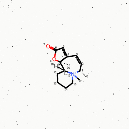 C[C@H]1C=CC2=CC(=O)O[C@]2(C)[C@H]2CCCC[N+]21C